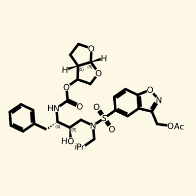 CC(=O)OCc1noc2ccc(S(=O)(=O)N(CC(C)C)C[C@@H](O)[C@H](Cc3ccccc3)NC(=O)OC3CO[C@H]4OCC[C@@H]34)cc12